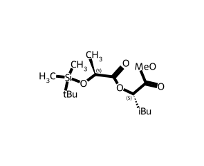 CCC(C)[C@H](OC(=O)[C@H](C)O[Si](C)(C)C(C)(C)C)C(=O)OC